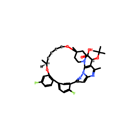 Cc1nc2cc3nn2c(c1[C@H](OC(C)(C)C)C(=O)O)N1CCC(C)(CC1)OCCCC[C@H](C)Oc1cc(F)ccc1-c1ccc(F)c-3c1